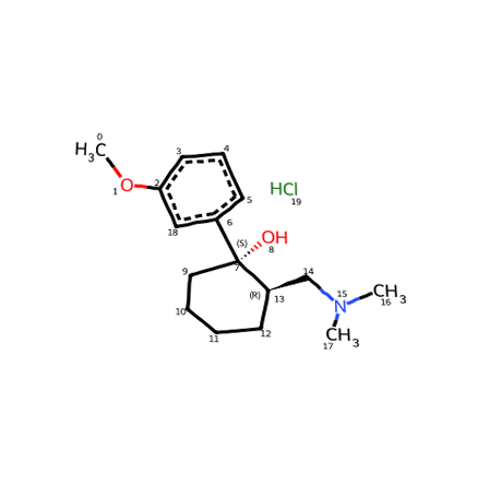 COc1cccc([C@]2(O)CCCC[C@@H]2CN(C)C)c1.Cl